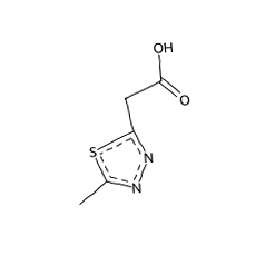 Cc1nnc(CC(=O)O)s1